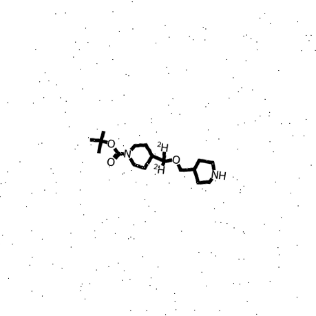 [2H]C([2H])(OCC1CCNCC1)C1CCN(C(=O)OC(C)(C)C)CC1